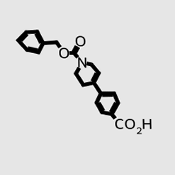 O=C(O)c1ccc(C2=CCN(C(=O)OCc3ccccc3)CC2)cc1